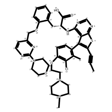 CC#Cc1sc2ncnc(N[C@H](Cc3ccccc3OCc3ccnc(N4CCOCC4)n3)C(=O)O)c2c1-c1ccc(OCCN2CCN(C)CC2)c(Cl)c1C